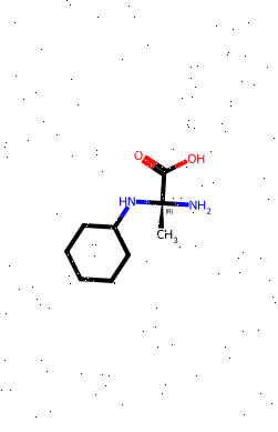 C[C@@](N)(NC1CCCCC1)C(=O)O